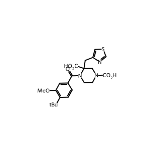 COc1cc(C(=O)N2CCN(C(=O)O)CC2(Cc2cscn2)C(=O)O)ccc1C(C)(C)C